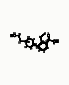 CCc1c(C(=O)O)cccc1N1CCN(CCO)CC1